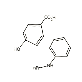 CCCNc1ccccc1.O=C(O)c1ccc(O)cc1